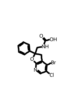 O=C(O)NCC1(c2ccccc2)Cc2c(ncc(Cl)c2Br)O1